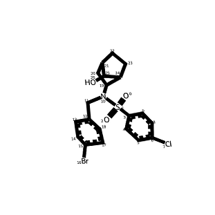 O=S(=O)(c1ccc(Cl)cc1)N(Cc1ccc(Br)cc1)C1CC2CCC1C2O